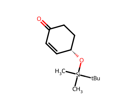 CC(C)(C)[Si](C)(C)O[C@@H]1C=CC(=O)CC1